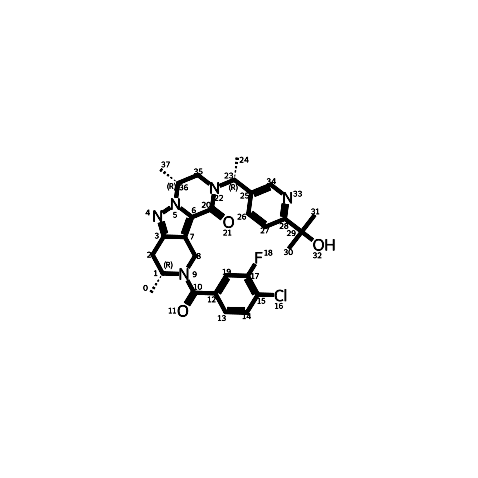 C[C@@H]1Cc2nn3c(c2CN1C(=O)c1ccc(Cl)c(F)c1)C(=O)N([C@H](C)c1ccc(C(C)(C)O)nc1)C[C@H]3C